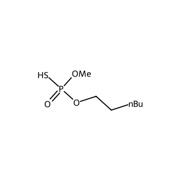 CCCCCCOP(=O)(S)OC